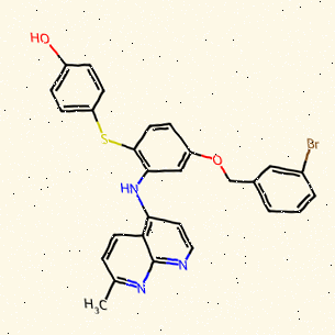 Cc1ccc2c(Nc3cc(OCc4cccc(Br)c4)ccc3Sc3ccc(O)cc3)ccnc2n1